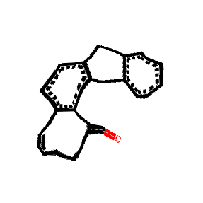 O=C1CC=Cc2ccc3c(c21)-c1ccccc1C3